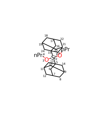 CCCO[Si](OCCC)(C12CC3CC(CC(C3)C1)C2)C12CC3CC(CC(C3)C1)C2